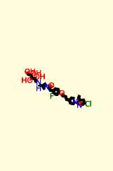 CCC12CC(Cl)=C(C1)N=C2N1CCC(CCCOc2ccc(CC(=O)N3CC(CNC[C@H](O)[C@@H](O)[C@H](O)CO)C3)c(F)c2)CC1